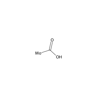 O=[C](O)[Mo]